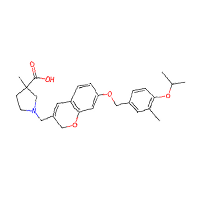 Cc1cc(COc2ccc3c(c2)OCC(CN2CCC(C)(C(=O)O)C2)=C3)ccc1OC(C)C